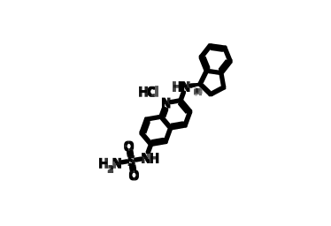 Cl.NS(=O)(=O)Nc1ccc2nc(N[C@@H]3CCc4ccccc43)ccc2c1